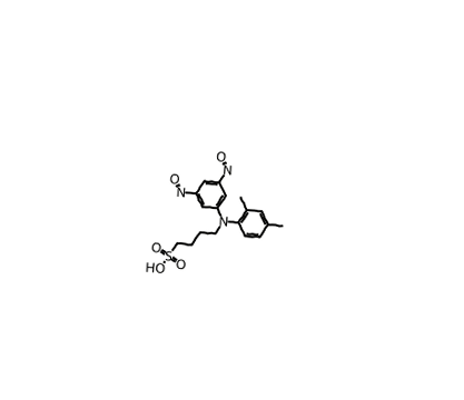 Cc1ccc(N(CCCCS(=O)(=O)O)c2cc(N=O)cc(N=O)c2)c(C)c1